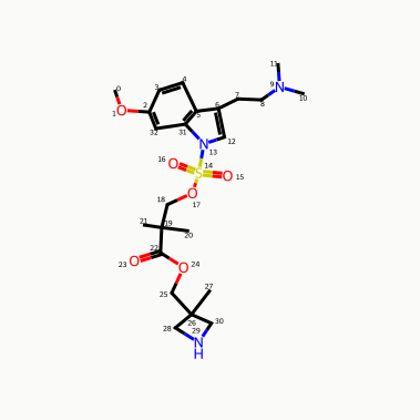 COc1ccc2c(CCN(C)C)cn(S(=O)(=O)OCC(C)(C)C(=O)OCC3(C)CNC3)c2c1